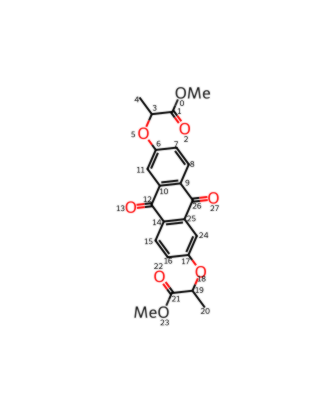 COC(=O)C(C)Oc1ccc2c(c1)C(=O)c1ccc(OC(C)C(=O)OC)cc1C2=O